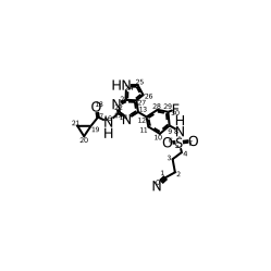 N#CCCCS(=O)(=O)Nc1ccc(-c2nc(NC(=O)C3CC3)nc3[nH]ccc23)cc1F